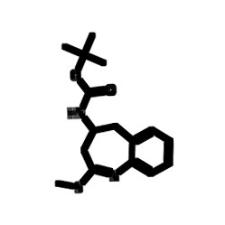 CSC1=Nc2ccccc2CC(NC(=O)OC(C)(C)C)C1